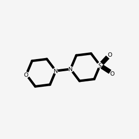 O=S1(=O)CCN(N2CCOCC2)CC1